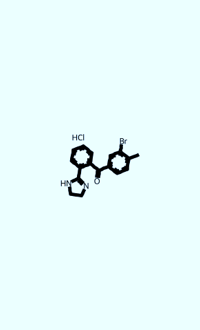 Cc1ccc(C(=O)c2ccccc2C2=NCCN2)cc1Br.Cl